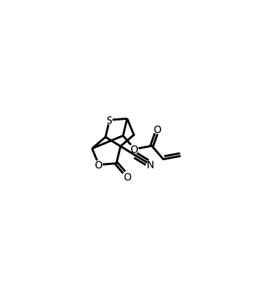 C=CC(=O)OC1C2CC3(C#N)C(=O)OC1C3S2